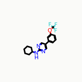 FC(F)(F)Oc1cccc(-c2cnc(NC3CCCCC3)nc2)c1